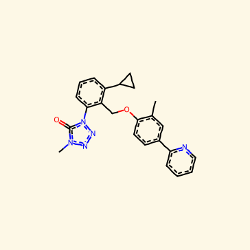 Cc1cc(-c2ccccn2)ccc1OCc1c(C2CC2)cccc1-n1nnn(C)c1=O